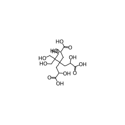 O=C(O)C(O)CC(CC(O)C(=O)O)(CC(O)C(=O)O)C(CO)(CO)CO